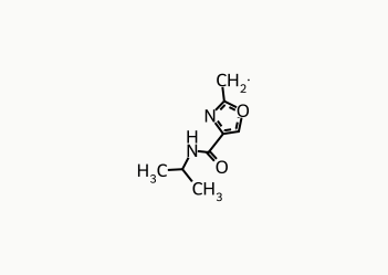 [CH2]c1nc(C(=O)NC(C)C)co1